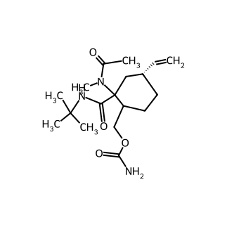 C=C[C@@H]1CCC(COC(N)=O)C(C(=O)NC(C)(C)C)(N(C)C(C)=O)C1